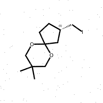 CC1(C)COC2(CC[C@H](CI)C2)OC1